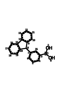 OB(O)c1cccc(C2c3ccccc3-c3ccccc32)c1